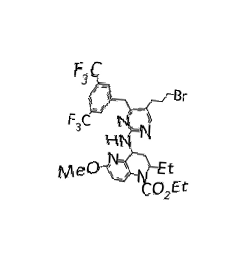 CCOC(=O)N1c2ccc(OC)nc2C(Nc2ncc(CCCBr)c(Cc3cc(C(F)(F)F)cc(C(F)(F)F)c3)n2)CC1CC